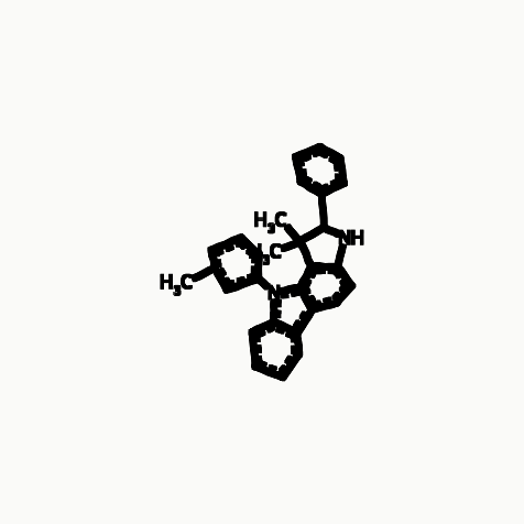 Cc1cccc(-n2c3ccccc3c3ccc4c(c32)C(C)(C)C(c2ccccc2)N4)c1